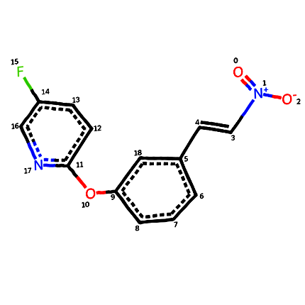 O=[N+]([O-])C=Cc1cccc(Oc2ccc(F)cn2)c1